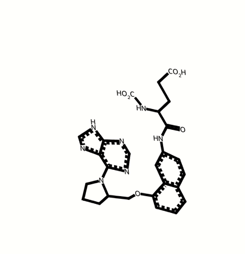 O=C(O)CCC(NC(=O)O)C(=O)Nc1ccc2cccc(OCC3CCCN3c3ncnc4[nH]cnc34)c2c1